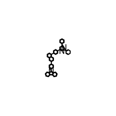 C1=CC(c2nc(-c3ccccc3)cc(-c3ccc(-c4cccc5cc(-c6ccc(-n7c8ccccc8c8ccccc87)cc6)ccc45)cc3)n2)=CCC1